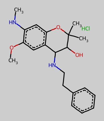 CNc1cc2c(cc1OC)C(NCCc1ccccc1)C(O)C(C)(C)O2.Cl